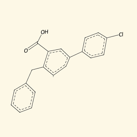 O=C(O)c1cc(-c2ccc(Cl)cc2)c[c]c1Cc1ccccc1